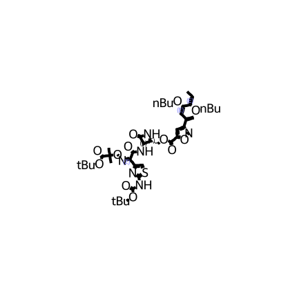 C=C(/C=C(OCCCC)\C(=C/C)OCCCC)c1cc(C(=O)OC[C@H]2NC(=O)[C@H]2NC(=O)/C(=N\OC(C)(C)C(=O)OC(C)(C)C)c2csc(NC(=O)OC(C)(C)C)n2)on1